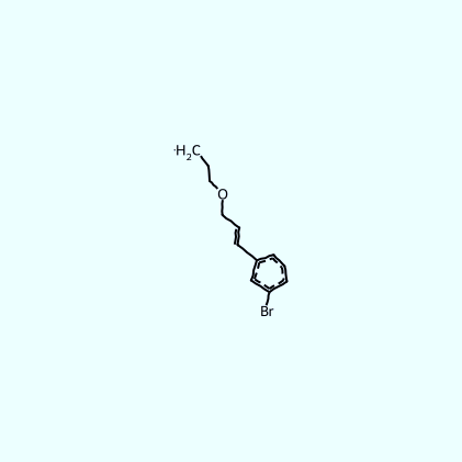 [CH2]CCOCC=Cc1cccc(Br)c1